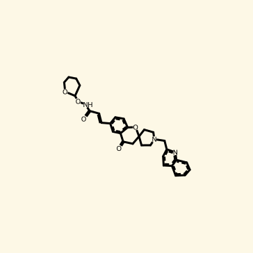 O=C(C=Cc1ccc2c(c1)C(=O)CC1(CCN(Cc3ccc4ccccc4n3)CC1)O2)NOC1CCCCO1